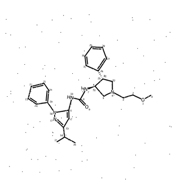 COCCN1C[C@@H](NC(=O)Nc2cc(C(C)C)nn2-c2ccccc2)[C@H](c2ccccc2)C1